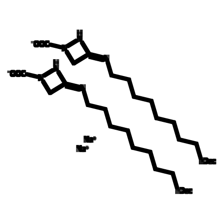 CCCCCCCCCCCCCCCCCCN=C1CN(C(=O)[O-])N1.CCCCCCCCCCCCCCCCCCN=C1CN(C(=O)[O-])N1.[Na+].[Na+]